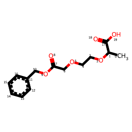 CC(OCCOCC(=O)OCc1ccccc1)C(=O)O